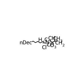 C=C(C)C(=O)C(C)[N+](C)(C)CCCCCCCCCCCCCCCC.[Cl-]